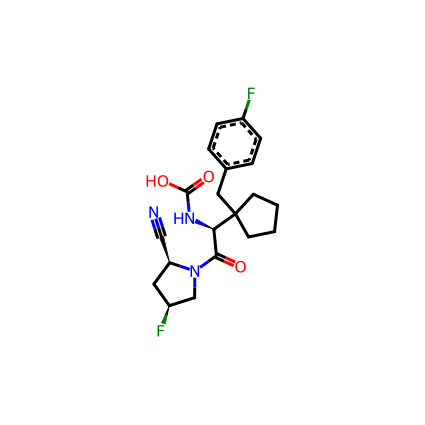 N#C[C@@H]1C[C@H](F)CN1C(=O)[C@@H](NC(=O)O)C1(Cc2ccc(F)cc2)CCCC1